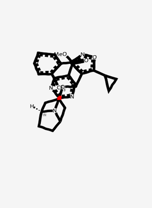 COC(=O)c1cnc(N2C3CC[C@H]2CC(OCc2c(-c4ccccc4C(F)(F)F)noc2C2CC2)C3)nc1